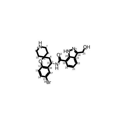 O=C(N[C@H]1CC2(CCNCC2)Oc2ccc(Br)cc21)c1cccc2c(CO)n[nH]c12